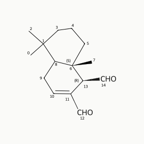 CC1(C)CCC[C@@]2(C)C1CC=C(C=O)[C@@H]2C=O